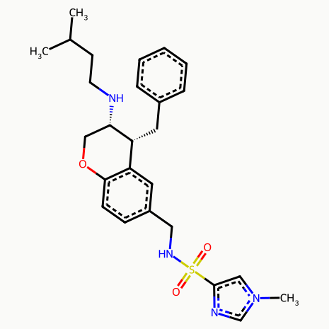 CC(C)CCN[C@H]1COc2ccc(CNS(=O)(=O)c3cn(C)cn3)cc2[C@H]1Cc1ccccc1